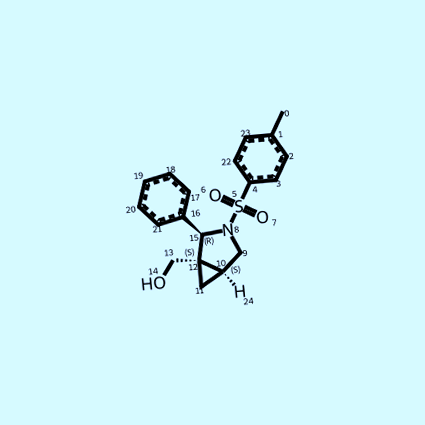 Cc1ccc(S(=O)(=O)N2C[C@H]3C[C@@]3(CO)[C@H]2c2ccccc2)cc1